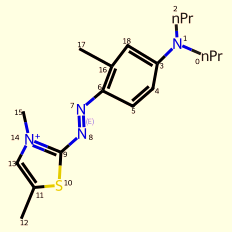 CCCN(CCC)c1ccc(/N=N/c2sc(C)c[n+]2C)c(C)c1